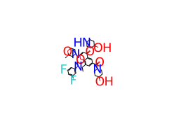 CC(c1cc(C(=O)N2CCC(O)CC2)cc2c(=O)cc(N3CCO[C@H](C)C3)oc12)N(C)c1cc(F)cc(F)c1.OC1CCNCC1